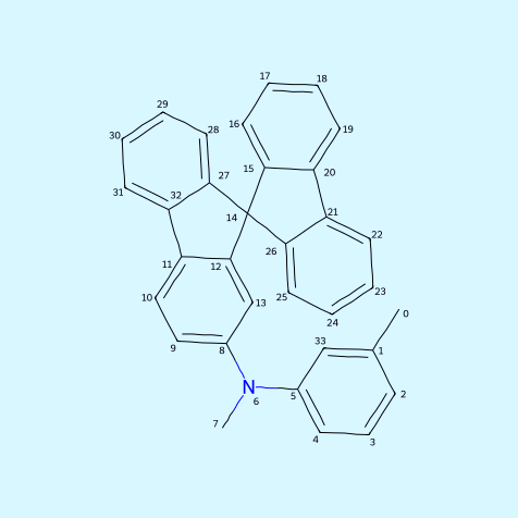 Cc1cccc(N(C)c2ccc3c(c2)C2(c4ccccc4-c4ccccc42)c2ccccc2-3)c1